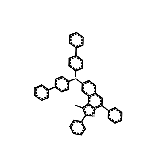 Cc1c(-c2ccccc2)nn2c(-c3ccccc3)cc3ccc(N(c4ccc(-c5ccccc5)cc4)c4ccc(-c5ccccc5)cc4)cc3c12